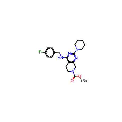 CC(C)(C)OC(=O)N1CCc2c(nc(N3CCCCC3)nc2NCc2ccc(F)cc2)C1